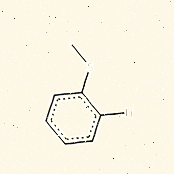 [Li][c]1ccccc1SC